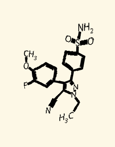 CCn1nc(-c2ccc(S(N)(=O)=O)cc2)c(-c2ccc(OC)c(F)c2)c1C#N